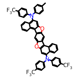 Cc1ccc(N(c2ccc(C(F)(F)F)cc2)c2cc3oc4cc5c(cc4c3c3ccccc23)oc2cc(N(c3ccc(C(F)(F)F)cc3)c3ccc(C(F)(F)F)cc3)c3ccccc3c25)cc1